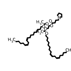 CCCCC/C=C\C/C=C\CCCCCCCCOC(C)OCC(OC(=O)CCCN1CCCC1)OC(C)OCCCCCCCC/C=C\C/C=C\CCCCC